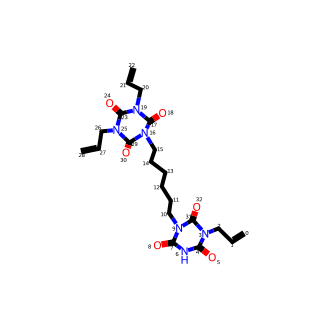 C=CCn1c(=O)[nH]c(=O)n(CCCCCCn2c(=O)n(CC=C)c(=O)n(CC=C)c2=O)c1=O